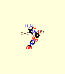 CCCc1c(C=O)c(C)c(C(N)=O)n1Nc1cc(S(=O)(=O)N2CCN(CCO)CC2)ccc1OCC